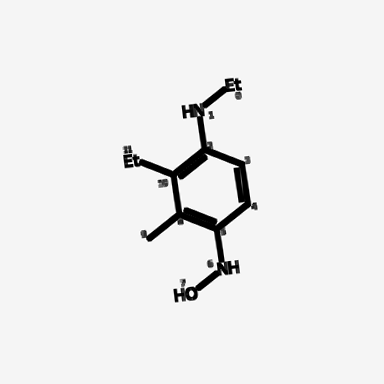 CCNc1ccc(NO)c(C)c1CC